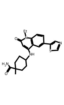 CCn1c(=O)cc(NC2CCC(C)(C(N)=O)CC2)c2cc(-c3cncs3)ccc21